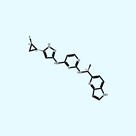 C[C@H](Nc1nccc(Nc2cc([C@@H]3C[C@H]3F)[nH]n2)n1)c1ccc2[nH]ccc2n1